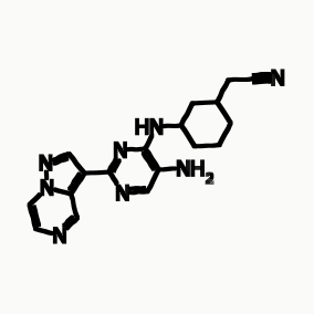 N#CCC1CCCC(Nc2nc(-c3cnn4ccncc34)ncc2N)C1